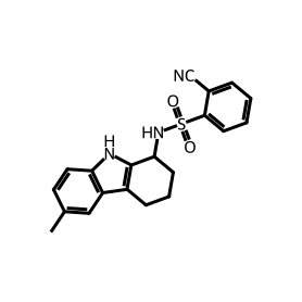 Cc1ccc2[nH]c3c(c2c1)CCCC3NS(=O)(=O)c1ccccc1C#N